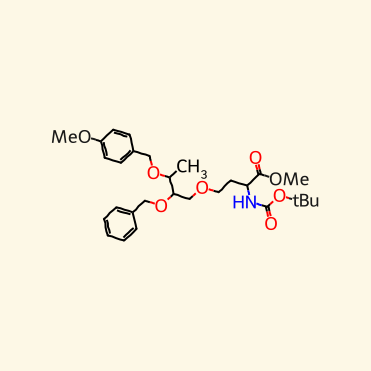 COC(=O)C(CCOCC(OCc1ccccc1)C(C)OCc1ccc(OC)cc1)NC(=O)OC(C)(C)C